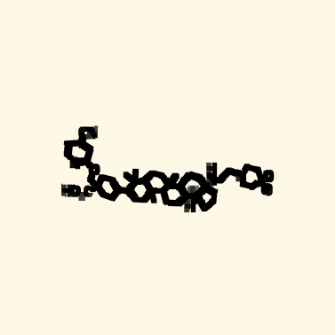 CC1(C)C(C2=CCC(COc3cc(C#N)ccn3)(C(=O)O)CC2)=CCC2(C)C1CCC1(C)C3CCC4(NCCN5CCS(=O)(=O)CC5)CCC[C@@H]4C3CCC12